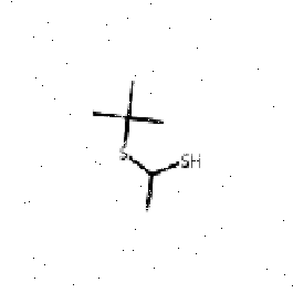 CC(S)SC(C)(C)C